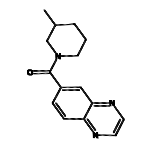 CC1CCCN(C(=O)c2ccc3nccnc3c2)C1